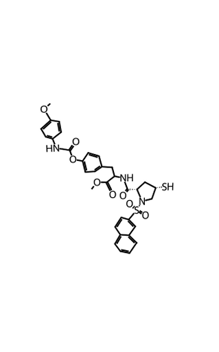 COC(=O)C(Cc1ccc(OC(=O)Nc2ccc(OC)cc2)cc1)NC(=O)[C@@H]1C[C@H](S)CN1S(=O)(=O)c1ccc2ccccc2c1